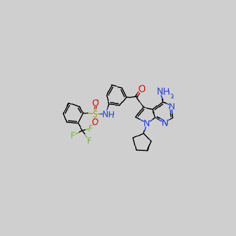 Nc1ncnc2c1c(C(=O)c1cccc(NS(=O)(=O)c3ccccc3C(F)(F)F)c1)cn2C1CCCC1